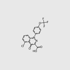 O=C(O)c1nn(-c2ccc(OC(F)(F)F)cc2)c2cccc(Cl)c2c1=O